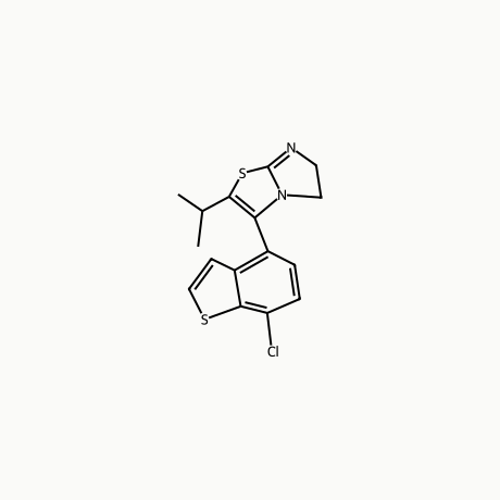 CC(C)C1=C(c2ccc(Cl)c3sccc23)N2CCN=C2S1